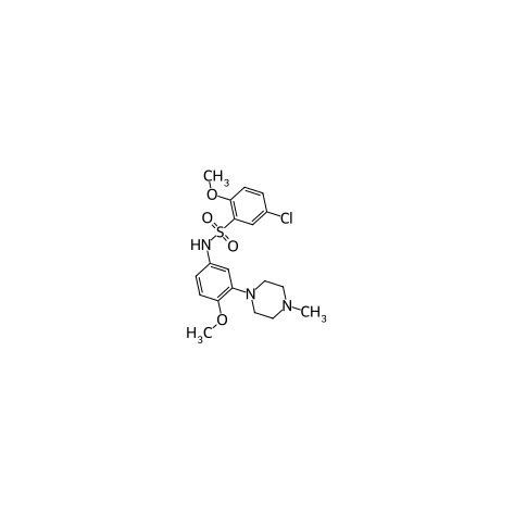 COc1ccc(NS(=O)(=O)c2cc(Cl)ccc2OC)cc1N1CCN(C)CC1